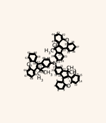 CC1(C)C2=C(c3ccccc3Oc3ccccc32)c2ccc(N(c3ccc4c(c3)C(C)(C)C3=C4c4ccccc4Oc4ccccc43)c3ccc4c(c3)C(C)(C)C3=C4c4ccccc4Oc4ccccc43)cc21